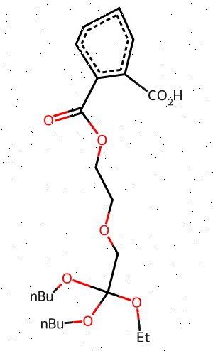 CCCCOC(COCCOC(=O)c1ccccc1C(=O)O)(OCC)OCCCC